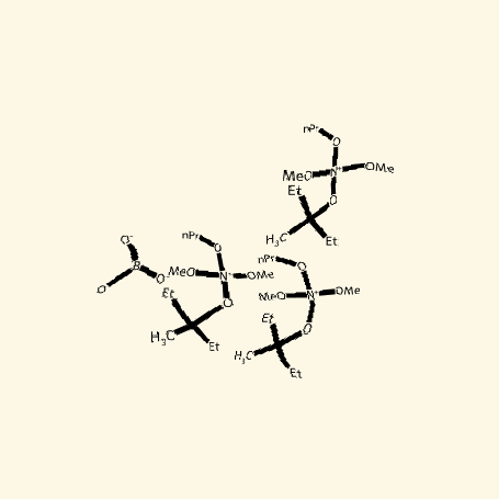 CCCO[N+](OC)(OC)OC(C)(CC)CC.CCCO[N+](OC)(OC)OC(C)(CC)CC.CCCO[N+](OC)(OC)OC(C)(CC)CC.[O-]B([O-])[O-]